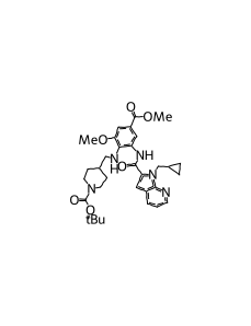 COC(=O)c1cc(NC(=O)c2cc3cccnc3n2CC2CC2)c(NCC2CCN(C(=O)OC(C)(C)C)CC2)c(OC)c1